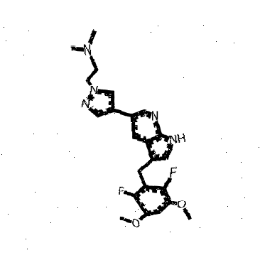 COc1cc(OC)c(F)c(Cc2c[nH]c3ncc(-c4cnn(CCN(C)C)c4)cc23)c1F